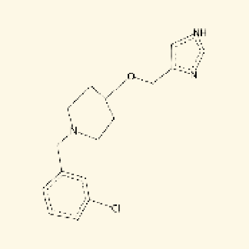 Clc1cccc(CN2CCC(OCc3c[nH]cn3)CC2)c1